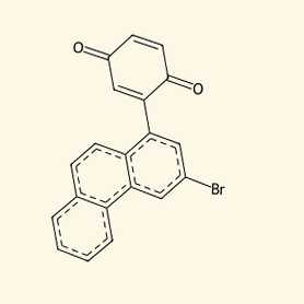 O=C1C=CC(=O)C(c2cc(Br)cc3c2ccc2ccccc23)=C1